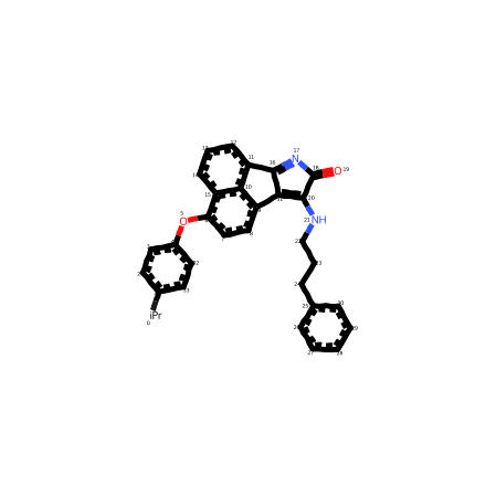 CC(C)c1ccc(Oc2ccc3c4c(cccc24)C2=NC(=O)C(NCCCc4ccccc4)=C23)cc1